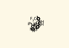 Cc1ccc(NC(=O)Nc2ccc(Oc3cc(C[C@H](C(N)=O)C(C)C)ncn3)cc2)cc1C(F)(F)F